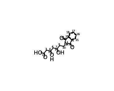 O=C(O)C[C@H](O)C[C@H](O)CCN1C(=O)c2ccccc2C1=O